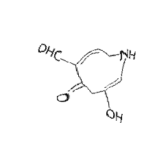 O=Cc1c[nH]cc(O)c1=O